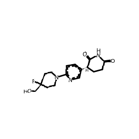 O=C1CC[C@H](c2ccc(N3CCC(F)(CO)CC3)nc2)C(=O)N1